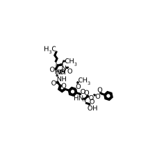 CCCCC[C@@H](C(=O)NCNC(=O)c1ccc(-c2ccc(C(=O)N[C@@H](CC(=O)O)C(=O)OCOC(=O)c3ccccc3)c(OCC)c2)o1)[C@@H](CC)N(O)C=O